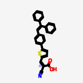 N#C/C(=C/c1ccc(-c2ccc(C=C(c3ccccc3)c3ccccc3)cc2)s1)C(=O)O